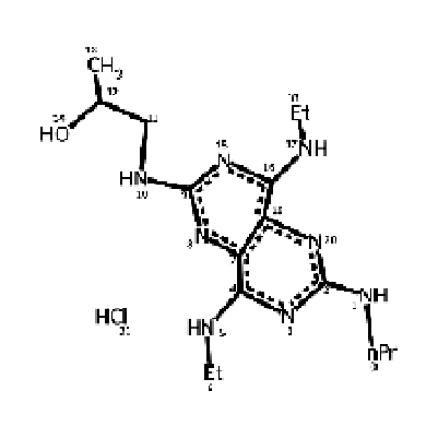 CCCNc1nc(NCC)c2nc(NCC(C)O)nc(NCC)c2n1.Cl